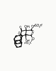 O=C(OS(=O)(=O)O)C(O)(C(=O)c1ccccc1)C(O)(C(=O)OS(=O)(=O)O)C(=O)c1ccccc1